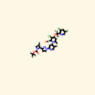 [2H]C([2H])(OC1=C(Cl)C(=C=O)N(c2cc(-n3ccc(C4C(C)CN4C(=O)OC(C)(C)C)n3)ncc2C)C(C)=C1)c1ncc(F)cc1F